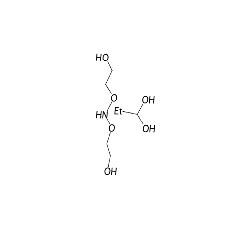 CCC(O)O.OCCONOCCO